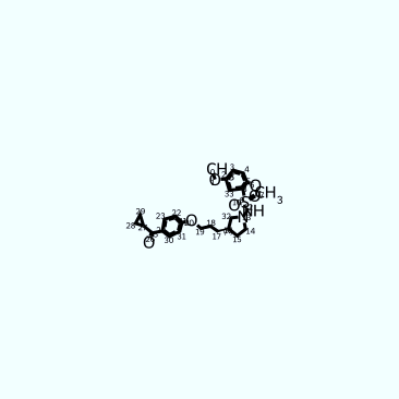 COc1ccc(OC)c(S(=O)(=O)NN2CC[C@@H](CCCOc3ccc(C(=O)C4CC4)cc3)C2)c1